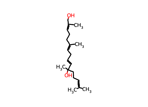 CC(C)=CCCC(C)(O)C=CC/C=C(\C)CC/C=C(\C)CO